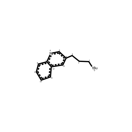 CC(C)(C)CCCc1cnc2ccccc2c1